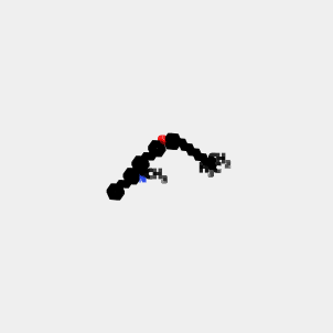 C=C(CC)CCCCCCCCc1ccc(OC2CCC(CCc3ccc4c(c3)c(C)nc3cc(CCC5CCCCC5)ccc34)CC2)cc1